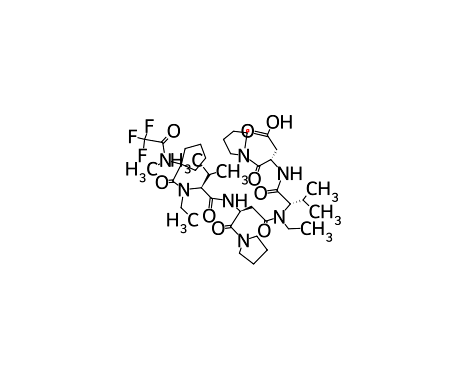 CCN(C(=O)C[C@H](NC(=O)[C@H](C(C)C)N(CC)C(=O)C1(N(C)C(=O)C(F)(F)F)CCCC1)C(=O)N1CCCC1)[C@H](C(=O)N[C@@H](CC(=O)O)C(=O)N1CCCC1)C(C)C